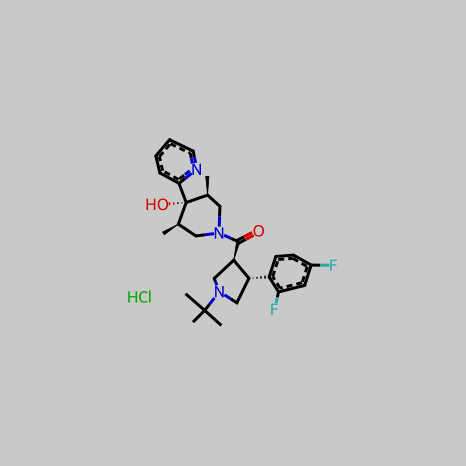 C[C@@H]1CN(C(=O)[C@@H]2CN(C(C)(C)C)C[C@H]2c2ccc(F)cc2F)C[C@H](C)[C@]1(O)c1ccccn1.Cl